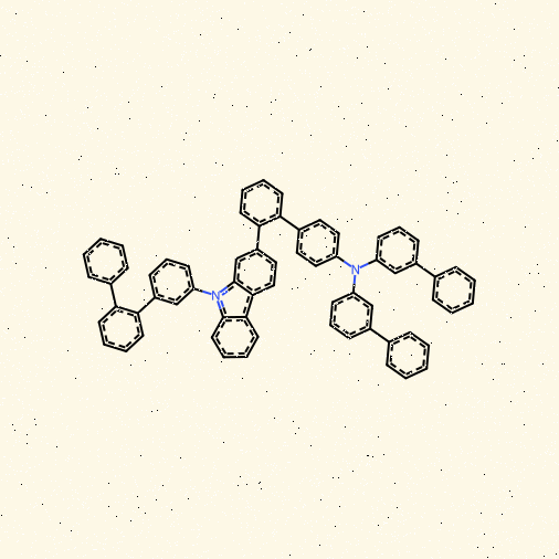 c1ccc(-c2cccc(N(c3ccc(-c4ccccc4-c4ccc5c6ccccc6n(-c6cccc(-c7ccccc7-c7ccccc7)c6)c5c4)cc3)c3cccc(-c4ccccc4)c3)c2)cc1